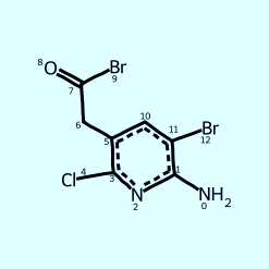 Nc1nc(Cl)c(CC(=O)Br)cc1Br